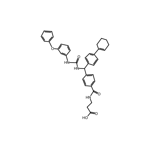 O=C(O)CCNC(=O)c1ccc(C(NC(=O)Nc2cccc(Oc3ccccc3)c2)c2ccc(C3=CCCCC3)cc2)cc1